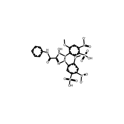 COc1cc([N+](=O)[O-])c(S(=O)(=O)O)cc1N1N=C(C(=O)Nc2ccccc2)N(O)N1c1cc(S(=O)(=O)O)c([N+](=O)[O-])cc1OC